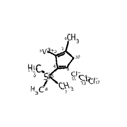 CC1=[C]([V+3])C([Si](C)(C)C)=CC1.[Cl-].[Cl-].[Cl-]